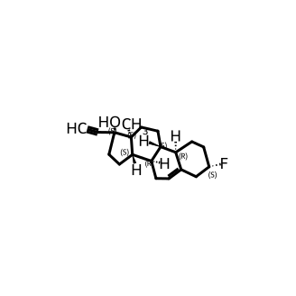 C#C[C@]1(O)CC[C@H]2[C@@H]3CC=C4C[C@@H](F)CC[C@@H]4[C@H]3CC[C@@]21C